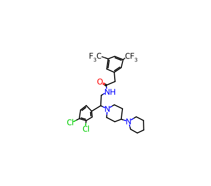 O=C(Cc1cc(C(F)(F)F)cc(C(F)(F)F)c1)NCC(c1ccc(Cl)c(Cl)c1)N1CCC(N2CCCCC2)CC1